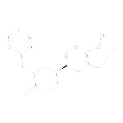 CN1c2ccc([C@@H]3CN(Cc4ccccc4)C(=O)CO3)cc2CS1(=O)=O